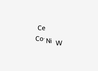 [Ce].[Co].[Ni].[W]